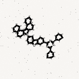 c1ccc(-c2nc(-c3ccccc3)nc(-c3ccc4c(c3)oc3ccc(-n5c6ccc7ccccc7c6c6c7ccccc7ccc65)cc34)n2)cc1